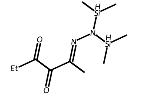 CCC(=O)C(=O)C(C)=NN([SiH](C)C)[SiH](C)C